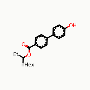 CCCCCCC(CC)OC(=O)c1ccc(-c2ccc(O)cc2)cc1